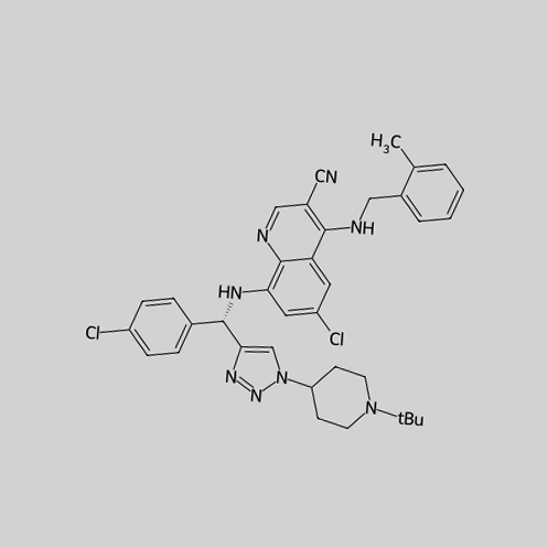 Cc1ccccc1CNc1c(C#N)cnc2c(N[C@@H](c3ccc(Cl)cc3)c3cn(C4CCN(C(C)(C)C)CC4)nn3)cc(Cl)cc12